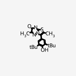 Cc1sc2nc(=O)c(C)nn2c1-c1cc(C(C)(C)C)c(O)c(C(C)(C)C)c1